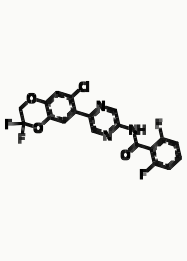 O=C(Nc1cnc(-c2cc3c(cc2Cl)OCC(F)(F)O3)cn1)c1c(F)cccc1F